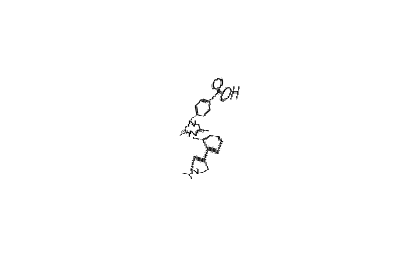 CC(C)N1CC=C(c2ccccc2CN2[C@H](C)CN(Cc3ccc(C(=O)O)cc3)C[C@@H]2C)CC1